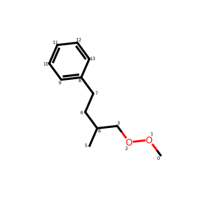 COOCC(C)CCc1ccccc1